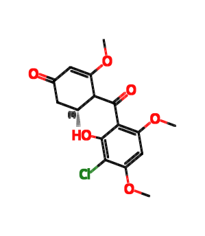 COC1=CC(=O)C[C@@H](C)C1C(=O)c1c(OC)cc(OC)c(Cl)c1O